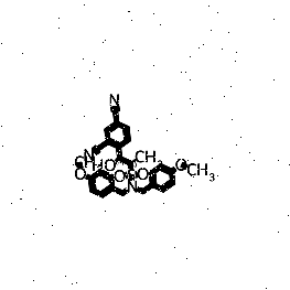 COc1ccc(CN(Cc2ccc(OC)cc2)S(=O)(=O)[C@@H](C)[C@@H](O)c2ccc(C#N)cc2C#N)cc1